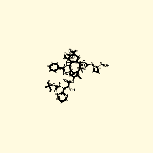 C=C1C2=C(C)[C@@H](OC(=O)[C@H](O)[C@@H](NC(=O)OC(C)(C)C)c3ncccn3)C[C@@]1(O)[C@@H](OC(=O)c1ccccc1)[C@H]1[C@@](C)(CC[C@H]3OC[C@]31OC(C)=O)[C@@H]1O[C@H](CN3CC[C@H]3CO)O[C@H]21